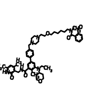 CCN(c1cc(-c2ccc(CN3CCN(CCOCCCCCCN(C)C(=O)c4ccccc4C=O)CC3)cc2)cc(C(=O)NCc2c(C)cc(C)[nH]c2=O)c1C)C1CCOCC1